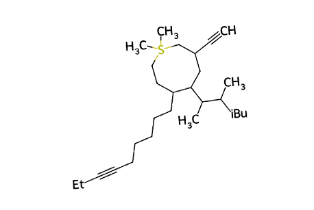 C#CC1CC(C(C)C(C)C(C)CC)C(CCCCCC#CCC)CCS(C)(C)C1